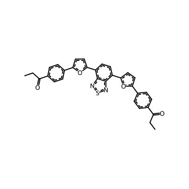 CCC(=O)c1ccc(-c2ccc(-c3ccc(-c4ccc(-c5ccc(C(=O)CC)cc5)o4)c4nsnc34)o2)cc1